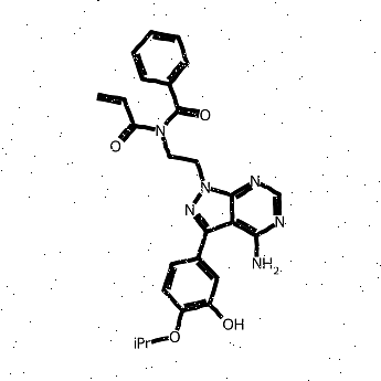 C=CC(=O)N(CCn1nc(-c2ccc(OC(C)C)c(O)c2)c2c(N)ncnc21)C(=O)c1ccccc1